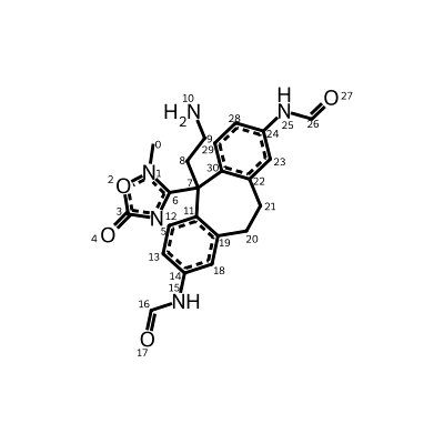 Cn1oc(=O)nc1C1(CCN)c2ccc(NC=O)cc2CCc2cc(NC=O)ccc21